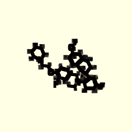 CCN(Cc1ccc(OCCN2CCCCC2)c(F)c1)c1ccc(F)cc1C1CCc2cc(OC)ccc2C1